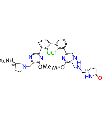 COc1nc(-c2cccc(-c3cccc(-c4cnc(CN5CC[C@@H](NC(C)=O)C5)c(OC)n4)c3Cl)c2Cl)cnc1CNC[C@H]1CCC(=O)N1